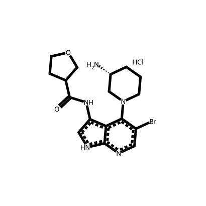 Cl.N[C@@H]1CCCN(c2c(Br)cnc3[nH]cc(NC(=O)C4CCOC4)c23)C1